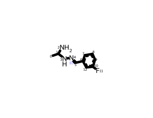 CC(N)N/N=C/c1cccc(F)c1